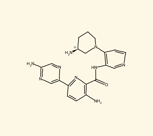 Nc1cnc(-c2ccc(N)c(C(=O)Nc3cnccc3N3CCC[C@H](N)C3)n2)cn1